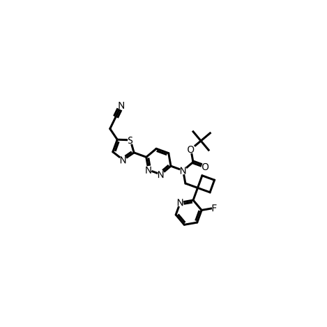 CC(C)(C)OC(=O)N(CC1(c2ncccc2F)CCC1)c1ccc(-c2ncc(CC#N)s2)nn1